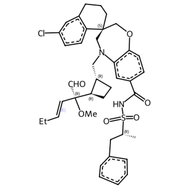 CC/C=C/[C@](C=O)(OC)[C@@H]1CC[C@H]1CN1C[C@@]2(CCCc3cc(Cl)ccc32)COc2ccc(C(=O)NS(=O)(=O)[C@H](C)Cc3ccccc3)cc21